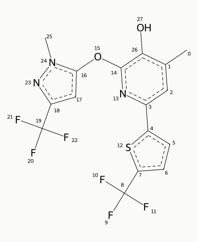 Cc1cc(-c2ccc(C(F)(F)F)s2)nc(Oc2cc(C(F)(F)F)nn2C)c1O